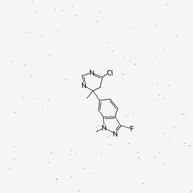 Cn1nc(F)c2ccc(C3(C)CC(Cl)=NC=N3)cc21